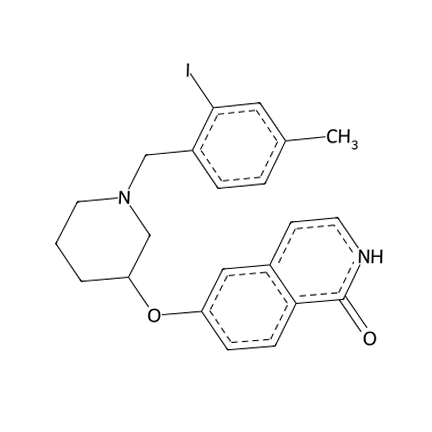 Cc1ccc(CN2CCCC(Oc3ccc4c(=O)[nH]ccc4c3)C2)c(I)c1